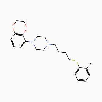 Cc1ccccc1SCCCCN1CCN(c2cccc3c2OCCO3)CC1